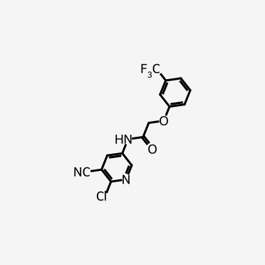 N#Cc1cc(NC(=O)COc2cccc(C(F)(F)F)c2)cnc1Cl